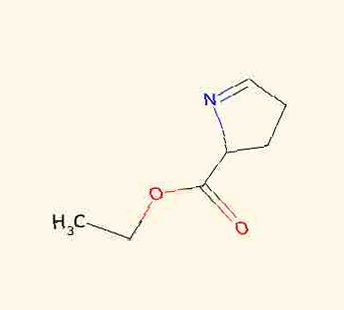 CCOC(=O)C1CCC=N1